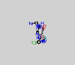 C[C@@H]1CCC[C@H](n2cnc(-c3cc(Cl)ccc3-n3cc(C(F)(F)F)nn3)cc2=O)c2cc(ccn2)-c2nn(-c3cccc(C#N)c3)cc2NC1=O